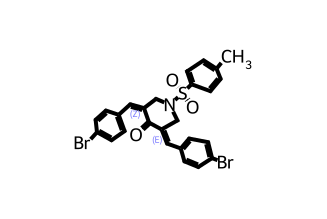 Cc1ccc(S(=O)(=O)N2C/C(=C/c3ccc(Br)cc3)C(=O)/C(=C/c3ccc(Br)cc3)C2)cc1